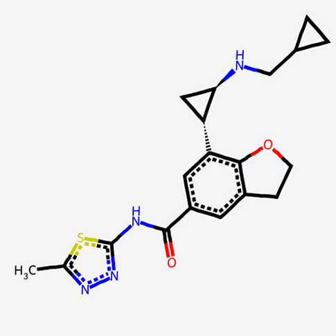 Cc1nnc(NC(=O)c2cc3c(c([C@@H]4C[C@H]4NCC4CC4)c2)OCC3)s1